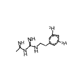 [2H]c1cc([2H])cc(CCNC(=N)NC(C)=N)c1